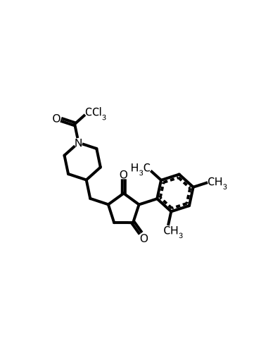 Cc1cc(C)c(C2C(=O)CC(CC3CCN(C(=O)C(Cl)(Cl)Cl)CC3)C2=O)c(C)c1